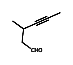 CC#CC(C)CC=O